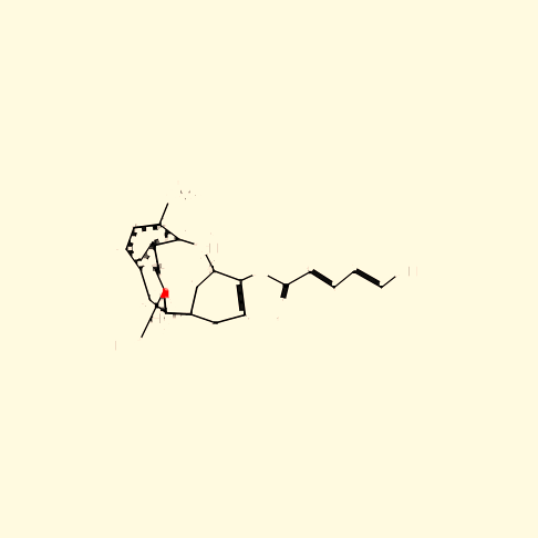 C/C=C/C=C/C(=O)OC1=CC[C@]2(O)C[C@H]1Oc1c(OC)ccc3c1CCCC(C)[C@@H]2C3